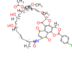 CO[C@H]1/C=C/O[C@@]2(C)Oc3c(C)c(OC(=O)c4ccc(F)cc4)c4c(c3C2=O)C(=O)C=C(NC(=O)/C(C)=C\C=C\C[C@H](O)C[C@@H](O)C[C@H](OC(C)=O)[C@@H]1C)C4=O